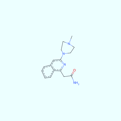 CN1CCN(c2cc3ccccc3c(CC(N)=O)n2)CC1